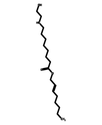 CCCCC/C=C/COC(=O)CCCCCCCNCCO